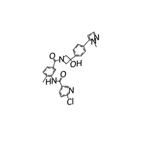 Cc1ccc(C(=O)N2CC(O)(c3ccc(-c4ccnn4C)cc3)C2)cc1NC(=O)c1ccc(Cl)nc1